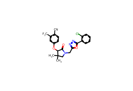 CC1(C)CN(Cc2nnc(-c3ccccc3Cl)o2)C(=O)C1Oc1ccc(C#N)c(C(F)(F)F)c1